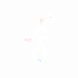 COc1c[c]c(-c2ccncc2)c(O)c1